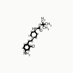 CC(C)(C)OC(=O)NC1CCN(CCc2ccc(N)cc2Cl)CC1